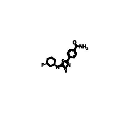 Cn1nc(-c2ccc(C(N)=O)cc2)sc1=N[C@@H]1CCC[C@@H](F)C1